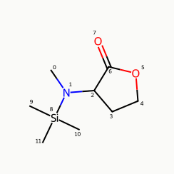 CN(C1CCOC1=O)[Si](C)(C)C